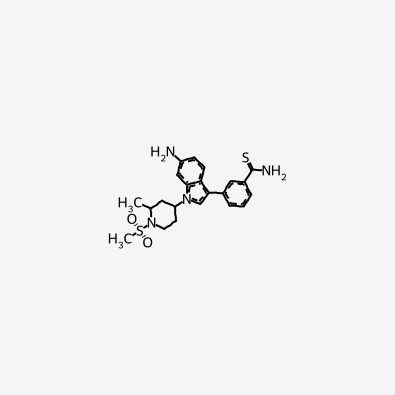 CC1CC(n2cc(-c3cccc(C(N)=S)c3)c3ccc(N)cc32)CCN1S(C)(=O)=O